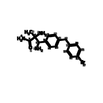 CC(N)(C(N)=O)C(N)c1ccc(Cc2ccc(Br)cc2)cc1